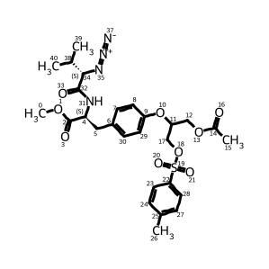 COC(=O)[C@H](Cc1ccc(OC(COC(C)=O)COS(=O)(=O)c2ccc(C)cc2)cc1)NC(=O)[C@@H](N=[N+]=[N-])C(C)C